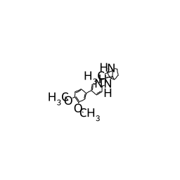 COc1ccc(-c2ccc(N[C@H]3C4CCN(CC4)[C@@H]3C)nc2)cc1OC